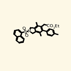 CCOC(=O)Cc1c(C)c2c(c(C)c1-c1ccc(C)cc1)CN(S(=O)(=O)c1cccc3ccccc13)C2